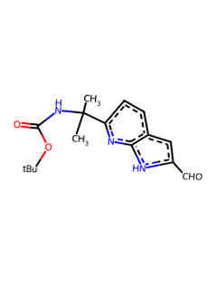 CC(C)(C)OC(=O)NC(C)(C)c1ccc2cc(C=O)[nH]c2n1